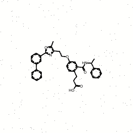 Cc1oc(-c2cccc(-c3ccccc3)c2)nc1CCOc1ccc(CCC(=O)O)c(C(=O)NC(C)c2ccccc2)c1